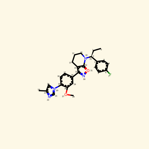 CC[C@@H](c1ccc(F)cc1)N1CCCc2c(-c3ccc(-n4cnc(C)c4)c(OC)c3)noc21